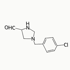 O=CC1CN(Cc2ccc(Cl)cc2)CN1